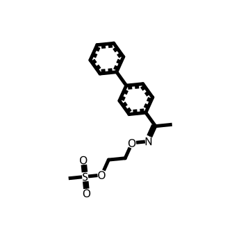 C/C(=N/OCCOS(C)(=O)=O)c1ccc(-c2ccccc2)cc1